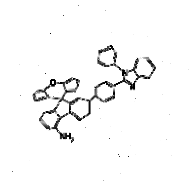 Nc1cccc2c1-c1ccc(-c3ccc(-c4nc5ccccc5n4-c4ccccc4)cc3)cc1C21c2ccccc2Oc2ccccc21